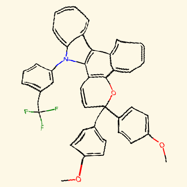 COc1ccc(C2(c3ccc(OC)cc3)C=Cc3c(c4ccccc4c4c5ccccc5n(-c5cccc(C(F)(F)F)c5)c34)O2)cc1